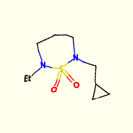 CCN1CCCN(CC2CC2)S1(=O)=O